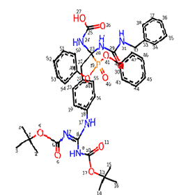 CC(C)(C)OC(=O)N=C(NC(=O)OC(C)(C)C)Nc1ccc(CC(NC(=O)O)(NC(=O)NCc2ccccc2)P(=O)(Oc2ccccc2)Oc2ccccc2)cc1